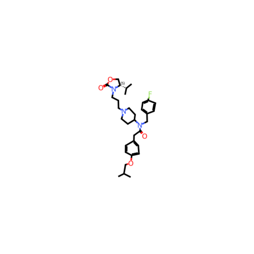 CC(C)COc1ccc(CC(=O)N(Cc2ccc(F)cc2)C2CCN(CCCN3C(=O)OC[C@@H]3C(C)C)CC2)cc1